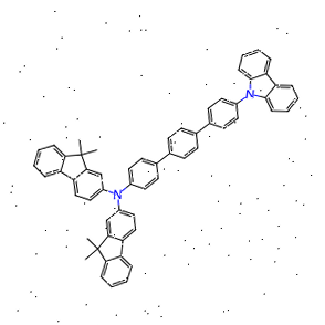 CC1(C)c2ccccc2-c2ccc(N(c3ccc(-c4ccc(-c5ccc(-n6c7ccccc7c7ccccc76)cc5)cc4)cc3)c3ccc4c(c3)C(C)(C)c3ccccc3-4)cc21